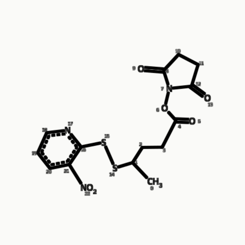 CC(CCC(=O)ON1C(=O)CCC1=O)SSc1ncccc1[N+](=O)[O-]